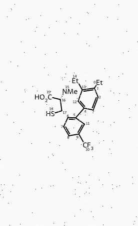 CCc1ccc(-c2cccc(C(F)(F)F)c2)cc1CC.CN[C@H](CS)C(=O)O